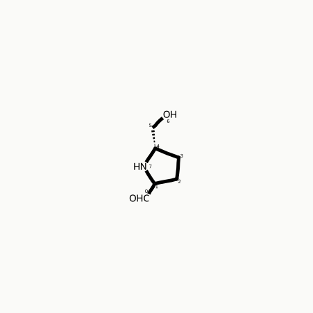 O=CC1CC[C@@H](CO)N1